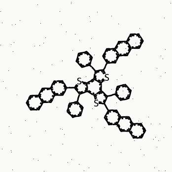 c1ccc(-c2c(-c3ccc4cc5ccccc5cc4c3)sc3c2c2sc(-c4ccc5cc6ccccc6cc5c4)c(-c4ccccc4)c2c2sc(-c4ccc5cc6ccccc6cc5c4)c(-c4ccccc4)c32)cc1